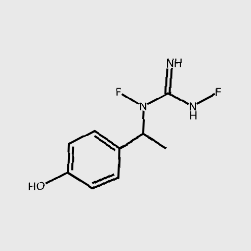 CC(c1ccc(O)cc1)N(F)C(=N)NF